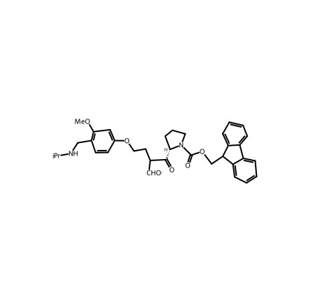 COc1cc(OCCC([C]=O)C(=O)[C@@H]2CCCN2C(=O)OCC2c3ccccc3-c3ccccc32)ccc1CNC(C)C